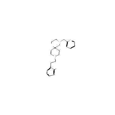 Cl.Oc1ccccc1CCN1CCC2(CC1)CN(Cc1ccccn1)CCO2